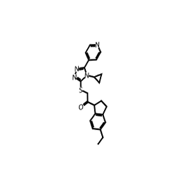 CCc1ccc2c(c1)CCC2C(=O)CSc1nnc(-c2ccncc2)n1C1CC1